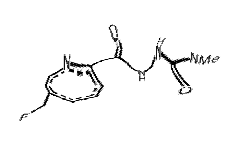 CNC(=O)NNC(=O)c1ccc(F)cn1